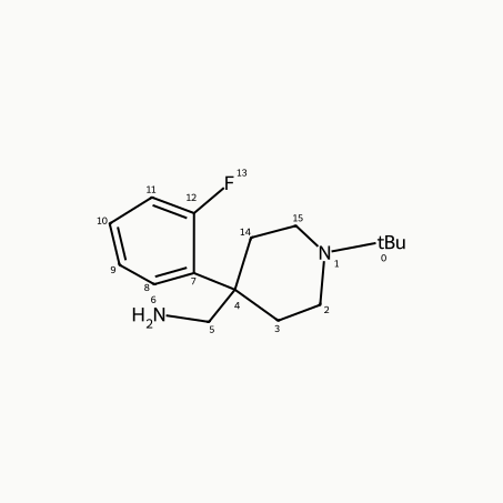 CC(C)(C)N1CCC(CN)(c2ccccc2F)CC1